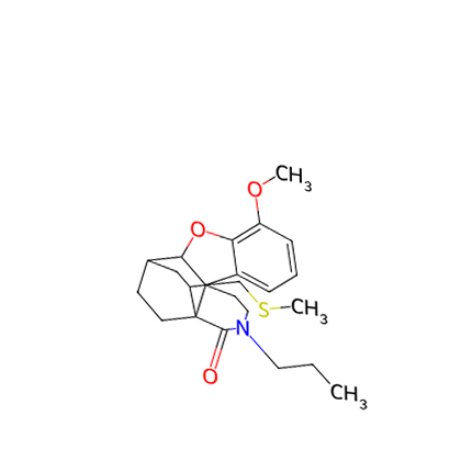 CCCN1CCC23c4cccc(OC)c4OC2C2CCC3(C1=O)C(CSC)C2